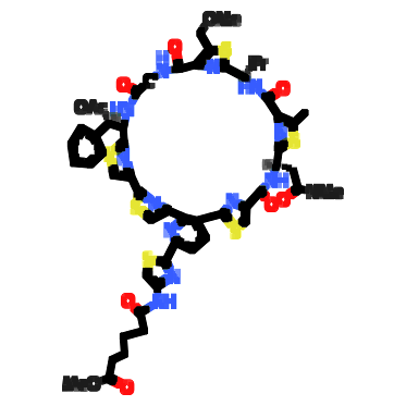 CNC(=O)C[C@@H]1NC(=O)c2csc(n2)-c2ccc(-c3nc(NC(=O)CCCCC(=O)OC)cs3)nc2-c2csc(n2)-c2csc(n2)C([C@@H](OC(C)=O)c2ccccc2)NC(=O)CNC(=O)c2nc(sc2COC)[C@H](C(C)C)NC(=O)c2nc1sc2C